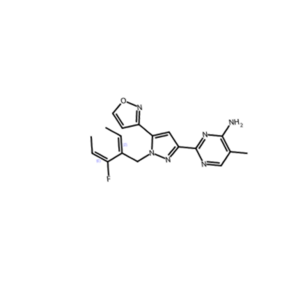 C/C=C(Cn1nc(-c2ncc(C)c(N)n2)cc1-c1ccon1)\C(F)=C/C